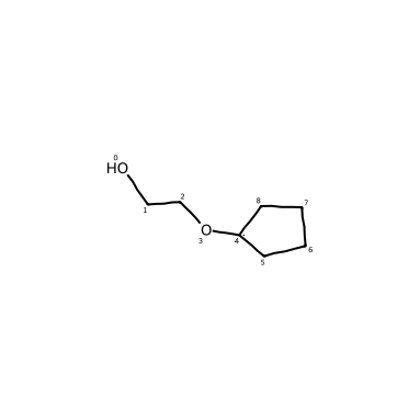 OCCO[C]1CCCC1